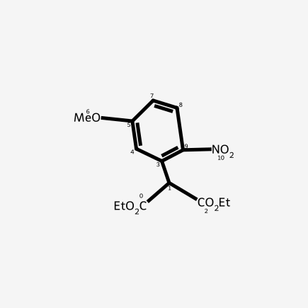 CCOC(=O)C(C(=O)OCC)c1cc(OC)ccc1[N+](=O)[O-]